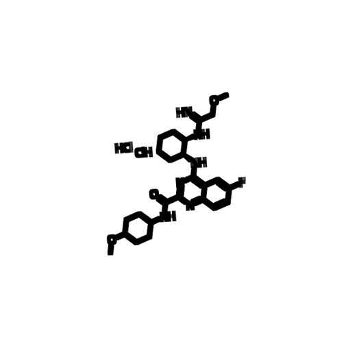 COCC(=N)N[C@@H]1CCCC[C@@H]1Nc1nc(C(=O)NC2CCC(OC)CC2)nc2ccc(F)cc12.Cl.Cl